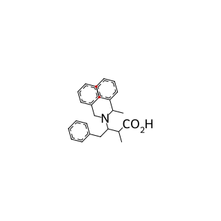 CC(C(=O)O)C(Cc1ccccc1)N(Cc1ccccc1)C(C)c1ccccc1